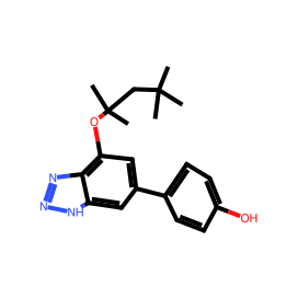 CC(C)(C)CC(C)(C)Oc1cc(-c2ccc(O)cc2)cc2[nH]nnc12